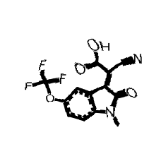 CN1C(=O)C(=C(C#N)C(=O)O)c2cc(OC(F)(F)F)ccc21